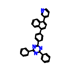 c1ccc(-c2nc(-c3ccccc3)nc(-c3ccc(-c4ccc(-c5cccnc5)c5ccccc45)cc3)n2)cc1